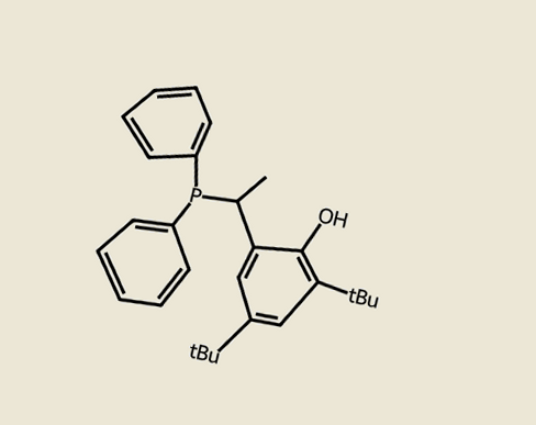 CC(c1cc(C(C)(C)C)cc(C(C)(C)C)c1O)P(c1ccccc1)c1ccccc1